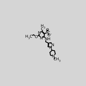 CCOc1nc(C)c([N+](=O)[O-])c(NCc2cnn(C3CCN(C)CC3)c2)n1